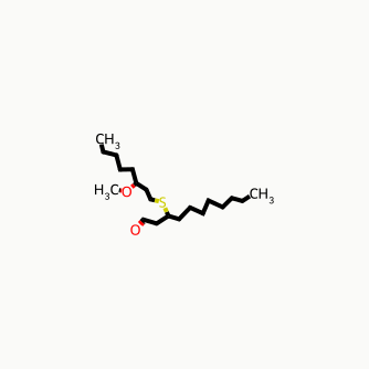 CCCCCCCCC(CC=O)SCCC(CCCCC)OC